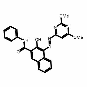 COc1cc(/N=N/c2c(O)c(C(=O)Nc3ccccc3)cc3ccccc23)nc(OC)n1